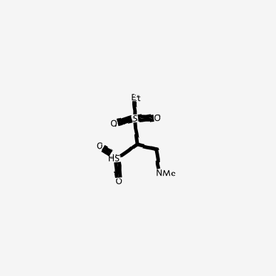 CCS(=O)(=O)C(CNC)[SH](=O)=O